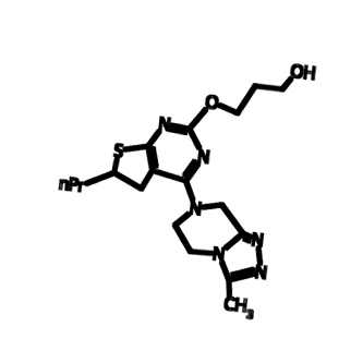 CCCC1Cc2c(nc(OCCCO)nc2N2CCn3c(C)nnc3C2)S1